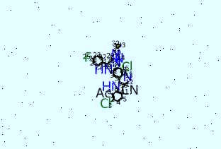 CC(=O)c1c(Cl)cccc1Nc1c(C#N)cnc2c(Cl)cc(NC(c3ccc(F)cc3)c3cn(C4CC4)nn3)cc12